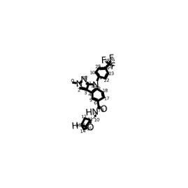 Cn1cc2c3cc(C(=O)NC[C@]45C[C@H](CO4)C5)ccc3n(-c3ccc(C(F)(F)F)cc3)c2n1